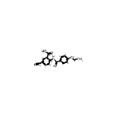 CCOc1ccc(C(=O)Nc2ccc(C#N)cc2C(=O)O)cc1